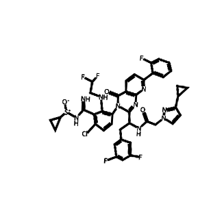 N=C(N[S+]([O-])C1CC1)c1c(Cl)ccc(-n2c(C(Cc3cc(F)cc(F)c3)NC(=O)Cn3ccc(C4CC4)n3)nc3nc(-c4ccccc4F)ccc3c2=O)c1NCC(F)F